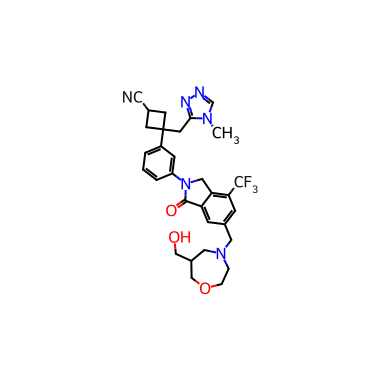 Cn1cnnc1CC1(c2cccc(N3Cc4c(cc(CN5CCOCC(CO)C5)cc4C(F)(F)F)C3=O)c2)CC(C#N)C1